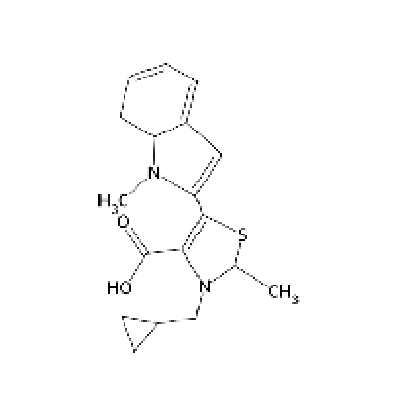 CC1SC(C2=CC3=CC=CCC3N2C)=C(C(=O)O)N1CC1CC1